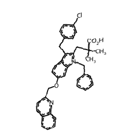 CC(C)(Cc1c(Cc2ccc(Cl)cc2)c2ccc(OCc3ccc4ccccc4n3)cc2n1Cc1ccccc1)C(=O)O